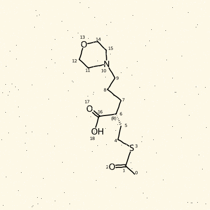 CC(=O)SCC[C@@H](CCCN1CCOCC1)C(=O)O